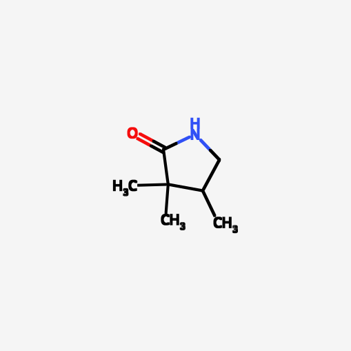 CC1CNC(=O)C1(C)C